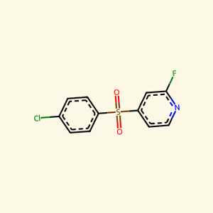 O=S(=O)(c1ccc(Cl)cc1)c1ccnc(F)c1